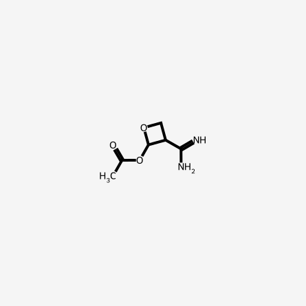 CC(=O)OC1OCC1C(=N)N